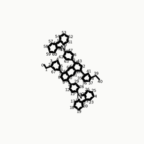 CCc1cccc(-c2ccc(-c3ccc(-n4c5ccccc5c5ccccc54)cc3)c3cc4c(-c5cccc(CC)c5)ccc(-c5ccc(-n6c7ccccc7c7ccccc76)cc5)c4cc23)c1